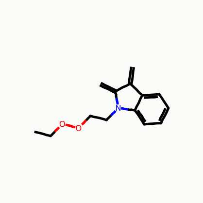 C=c1c(=C)n(CCOOCC)c2ccccc12